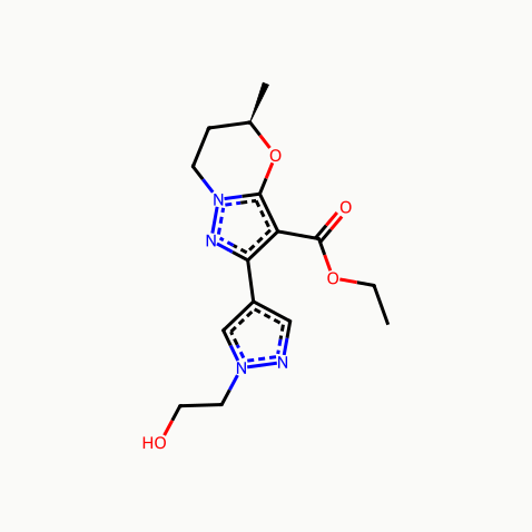 CCOC(=O)c1c(-c2cnn(CCO)c2)nn2c1O[C@H](C)CC2